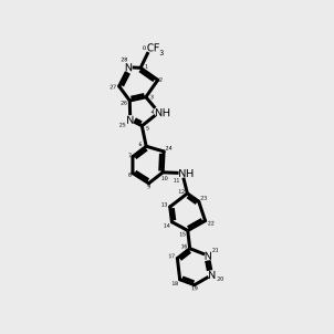 FC(F)(F)c1cc2[nH]c(-c3cccc(Nc4ccc(-c5cccnn5)cc4)c3)nc2cn1